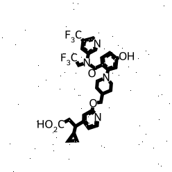 O=C(O)CC(c1ccnc(OCC2CCN(c3cc(O)ccc3C(=O)N(CC(F)(F)F)c3cncc(C(F)(F)F)c3)CC2)c1)C1CC1